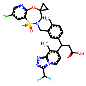 Cc1ccc(C(CC(=O)O)c2ccn3c(C(F)F)nnc3c2C)cc1CN1CC2(CC2)Oc2ncc(Cl)cc2S1(=O)=O